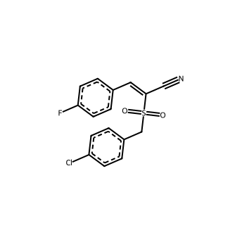 N#CC(=Cc1ccc(F)cc1)S(=O)(=O)Cc1ccc(Cl)cc1